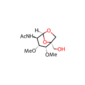 CO[C@@H]1[C@@H](NC(C)=O)[C@H]2OC[C@](CO)(O2)[C@@H]1OC